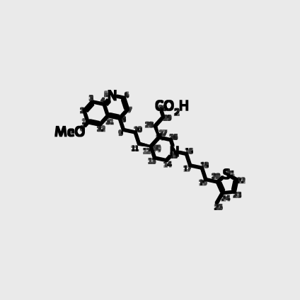 COc1ccc2nccc(CCC[C@@H]3CCN(CCCCc4sccc4C)C[C@@H]3CCC(=O)O)c2c1